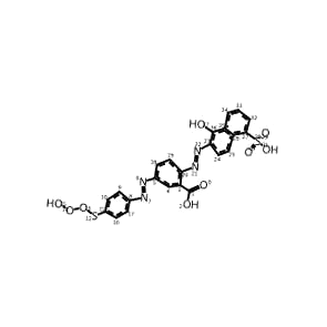 O=C(O)c1cc(/N=N/c2ccc(SOOO)cc2)ccc1/N=N/c1ccc2c(S(=O)(=O)O)cccc2c1O